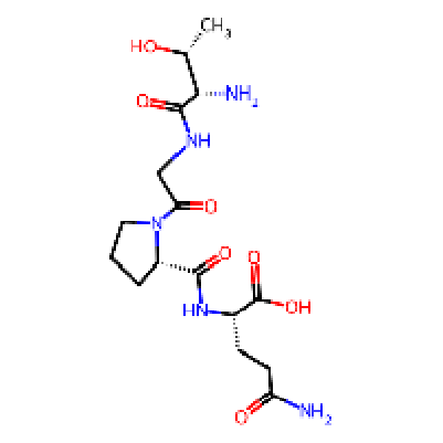 C[C@@H](O)[C@H](N)C(=O)NCC(=O)N1CCC[C@H]1C(=O)N[C@@H](CCC(N)=O)C(=O)O